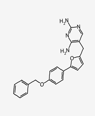 Nc1ncc(Cc2ccc(-c3ccc(OCc4ccccc4)cc3)o2)c(N)n1